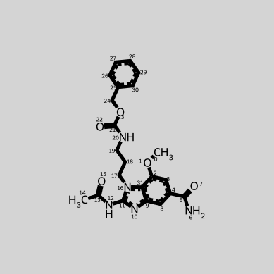 COc1cc(C(N)=O)cc2nc(NC(C)=O)n(CCCNC(=O)OCc3ccccc3)c12